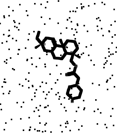 CC[C@@]1(C)CC=C2C(CCC3[C@](C)(COC(=O)CN4CCNCC4)CCC[C@@]23C)C1